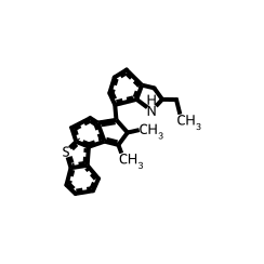 CCC1Cc2cccc(C3=c4ccc5sc6ccccc6c5c4=C(C)C3C)c2N1